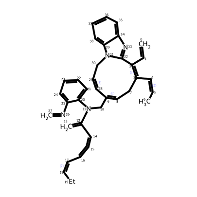 C=C/C1=C(\C=C/C)C/C=C(CN(C(=C)C=C=C/C=C\CC)c2ccccc2N=C)\C=C/Cn2c1nc1ccccc12